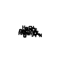 CC(COc1ccc(C#N)cc1Cl)NC(=O)c1[nH]c(=O)[nH]c(=O)c1N